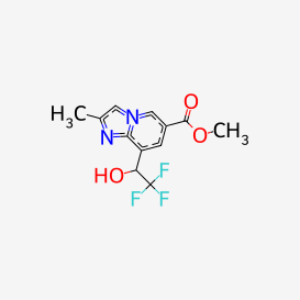 COC(=O)c1cc(C(O)C(F)(F)F)c2nc(C)cn2c1